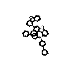 C1=CC2Oc3cc(-c4cccc5oc6ccccc6c45)c4ccccc4c3C2C(N(c2ccc(-c3ccccc3)cc2)c2ccc(-c3ccccc3)cc2)=C1